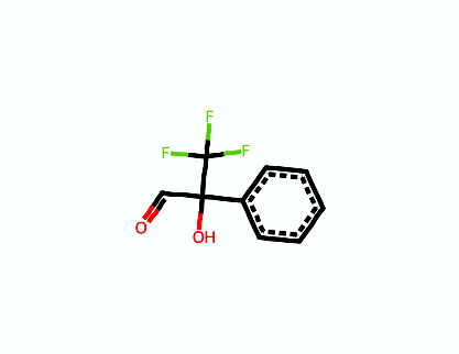 O=CC(O)(c1ccccc1)C(F)(F)F